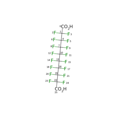 O=C(O)C(F)(F)C(F)(F)C(F)(F)C(F)(F)C(F)(F)C(F)(F)C(F)(F)C(F)(F)C(=O)O